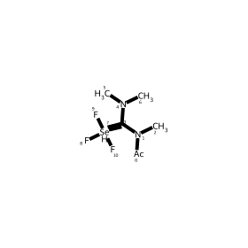 CC(=O)N(C)C(N(C)C)=[SeH](F)(F)F